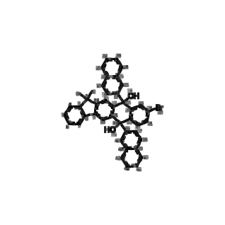 CC1(C)c2ccccc2-c2cc3c(cc21)C(O)(c1ccc2ccccc2c1)c1cc(Br)ccc1C3(O)c1ccc2ccccc2c1